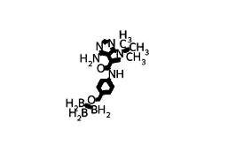 BC(B)(B)OCc1ccc(NC(=O)c2cn(C(C)(C)C)c3ncnc(N)c23)cc1